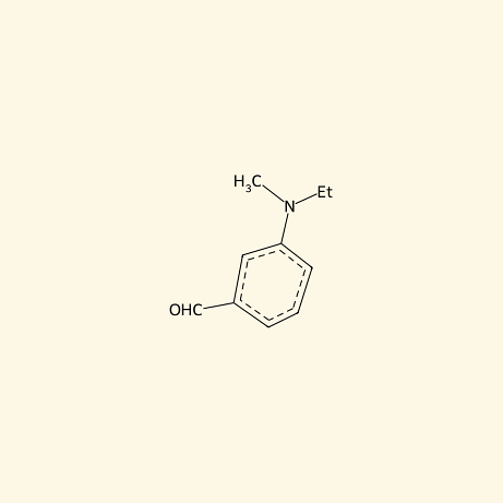 CCN(C)c1cccc(C=O)c1